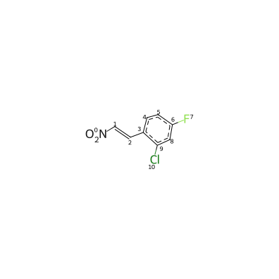 O=[N+]([O-])/C=C/c1ccc(F)cc1Cl